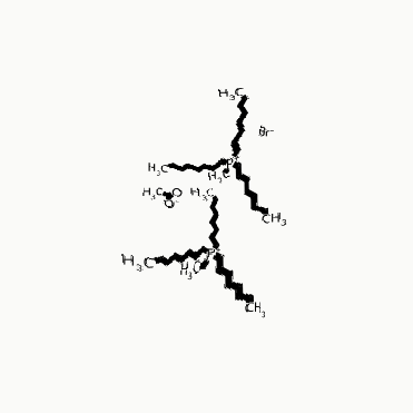 CC(=O)[O-].CCCCCCCC[P+](C)(CCCCCCCC)CCCCCCCC.CCCCCCCC[P+](CC)(CCCCCCCC)CCCCCCCC.[Br-]